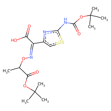 CC(ON=C(C(=O)O)c1csc(NC(=O)OC(C)(C)C)n1)C(=O)OC(C)(C)C